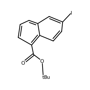 CC(C)(C)OC(=O)c1cccc2cc(I)ccc12